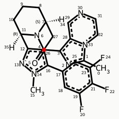 Cc1nc(C(=O)N2[C@H]3CCC[C@@H]2c2nn(C)c(-c4cc(F)c(F)c(F)c4)c2C3)c2cnccn12